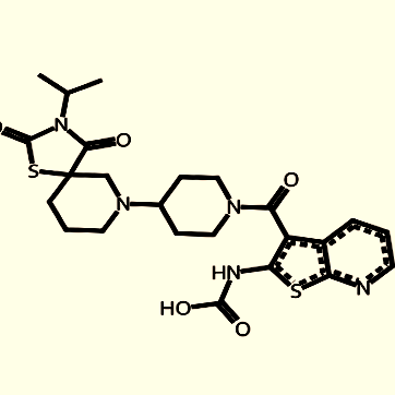 CC(C)N1C(=O)SC2(CCCN(C3CCN(C(=O)c4c(NC(=O)O)sc5ncccc45)CC3)C2)C1=O